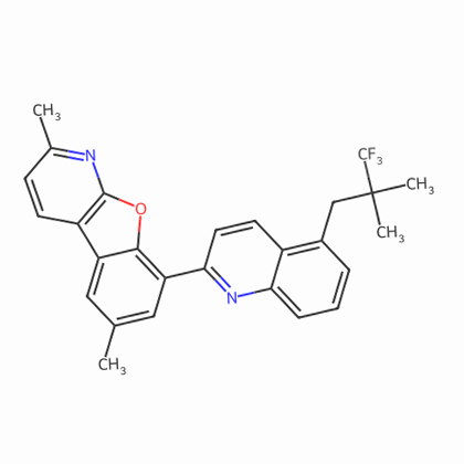 Cc1cc(-c2ccc3c(CC(C)(C)C(F)(F)F)cccc3n2)c2oc3nc(C)ccc3c2c1